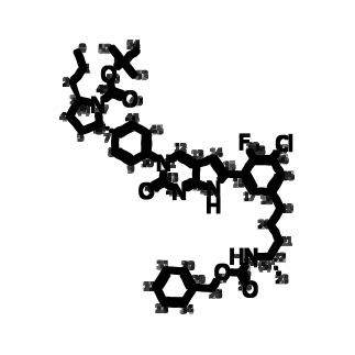 CCC[C@@H]1CC[C@@H](c2ccc(-n3cc4cc(-c5cc(CCC[C@H](C)NC(=O)OCc6ccccc6)cc(Cl)c5F)[nH]c4nc3=O)cc2)N1C(=O)OC(C)(C)C